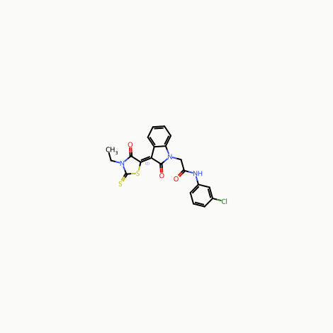 CCN1C(=O)/C(=C2/C(=O)N(CC(=O)Nc3cccc(Cl)c3)c3ccccc32)SC1=S